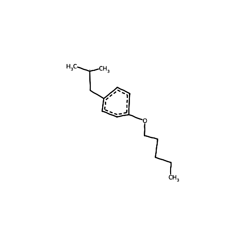 CCCCCOc1ccc(C[C](C)C)cc1